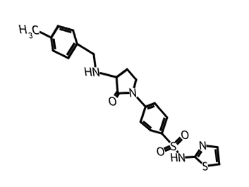 Cc1ccc(CNC2CCN(c3ccc(S(=O)(=O)Nc4nccs4)cc3)C2=O)cc1